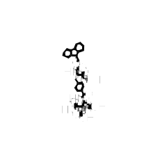 COC(=O)[C@H](Cc1ccc(C(=O)N[C@H](OC(C)=O)[C@@H](OC(C)=O)C(=O)O)cc1)NC(=O)OCC1c2ccccc2-c2ccccc21